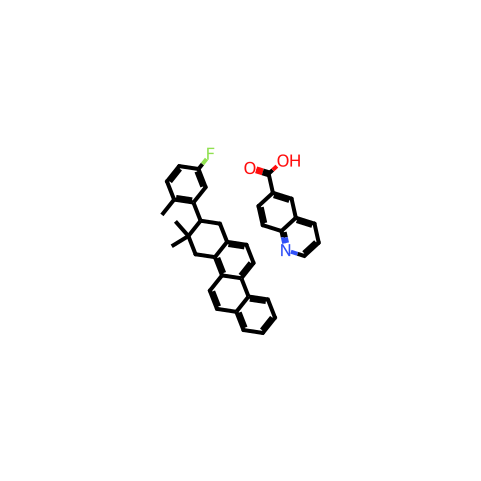 Cc1ccc(F)cc1C1Cc2ccc3c(ccc4ccccc43)c2CC1(C)C.O=C(O)c1ccc2ncccc2c1